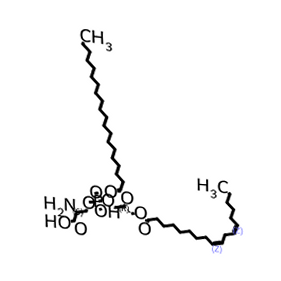 CCCCC/C=C\C/C=C\CCCCCCCC(=O)OC[C@H](COP(=O)(O)OC[C@H](N)C(=O)O)OC(=O)CCCCCCCCCCCCCCCCCCC